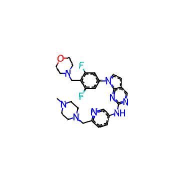 CN1CCN(Cc2ccc(Nc3ncc4ccn(-c5cc(F)c(CN6CCOCC6)c(F)c5)c4n3)cn2)CC1